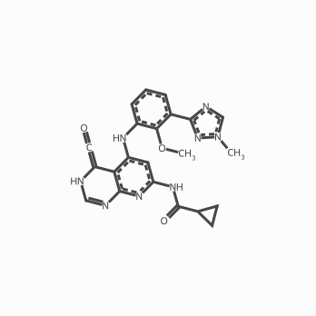 COc1c(Nc2cc(NC(=O)C3CC3)nc3c2C(=C=O)NC=N3)cccc1-c1ncn(C)n1